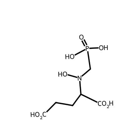 O=C(O)CCC(C(=O)O)N(O)CP(=O)(O)O